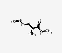 COC(=O)[C@@H](N)CSN=O